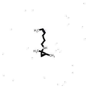 C/C=C\CCCNC1(C)C=C1C